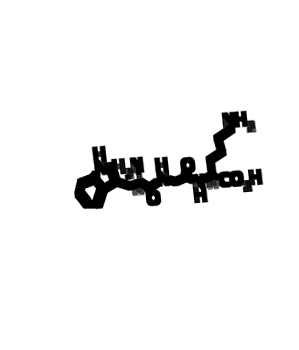 NCCCC[C@H](NC(=O)CNC(=O)[C@@H](N)Cc1c[nH]c2ccccc12)C(=O)O